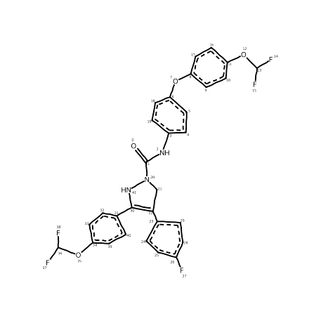 O=C(Nc1ccc(Oc2ccc(OC(F)F)cc2)cc1)N1CC(c2ccc(F)cc2)=C(c2ccc(OC(F)F)cc2)N1